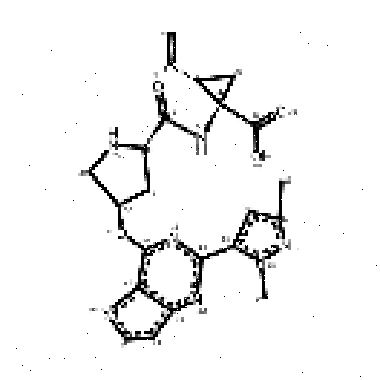 C=C[C@@H]1C[C@]1(NC(=O)[C@H]1C[C@@H](Oc2nc(-c3cc(C)nn3C)nc3ccsc23)CN1)C(=O)O